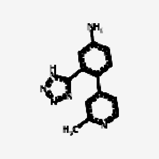 Cc1cc(-c2ccc(N)cc2-c2nnn[nH]2)ccn1